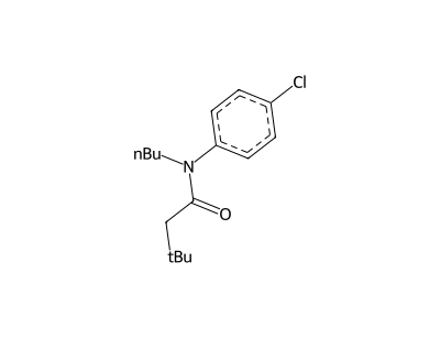 CCCCN(C(=O)CC(C)(C)C)c1ccc(Cl)cc1